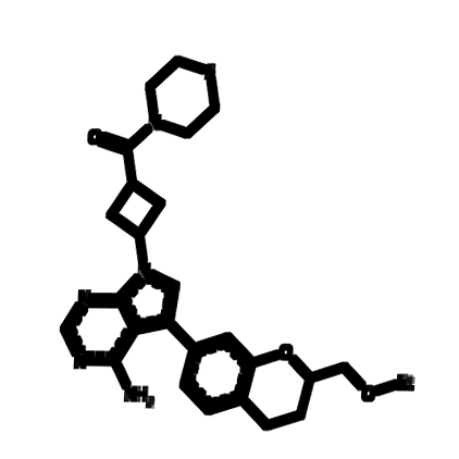 CCOCC1CCc2ccc(-c3cn(C4CC(C(=O)N5CCSCC5)C4)c4ncnc(N)c34)cc2O1